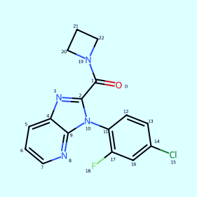 O=C(c1nc2cccnc2n1-c1ccc(Cl)cc1F)N1CCC1